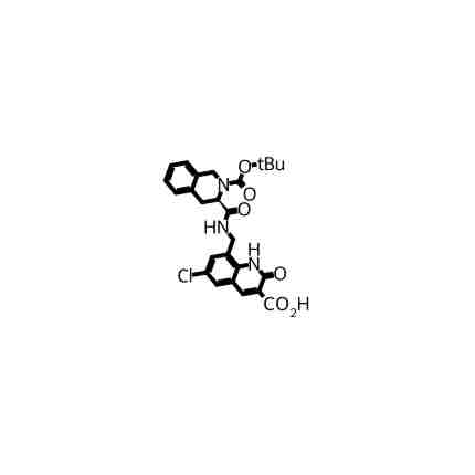 CC(C)(C)OC(=O)N1Cc2ccccc2C[C@@H]1C(=O)NCc1cc(Cl)cc2cc(C(=O)O)c(=O)[nH]c12